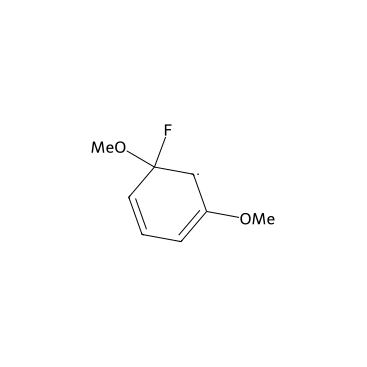 COC1=CC=CC(F)(OC)[CH]1